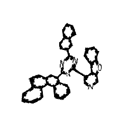 c1ccc2cc(-c3nc(-c4cc5ccc6ccccc6c5c5ccccc45)nc(-c4cncc5oc6ccccc6c45)n3)ccc2c1